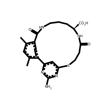 Cc1cc(C)c2cc1C(=O)NCCC[C@@H](C(=O)O)NC(=O)CCSc1cc-2nc(N)n1